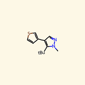 Cn1ncc(-c2ccsc2)c1C(C)(C)C